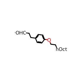 CCCCCCCCCCOc1ccc(CC[C]=O)cc1